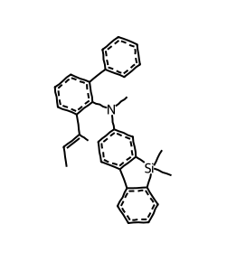 C/C=C(\C)c1cccc(-c2ccccc2)c1N(C)c1ccc2c(c1)[Si](C)(C)c1ccccc1-2